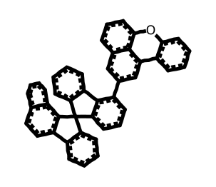 c1ccc2c(c1)Oc1cccc3cc(-c4cccc5c4-c4ccccc4C54c5ccccc5-c5ccc6ccccc6c54)cc-2c13